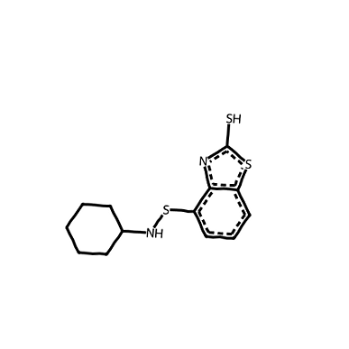 Sc1nc2c(SNC3CCCCC3)cccc2s1